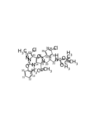 Cc1nn2c(=O)n(Cc3ccccc3)c(C(C(C)C)N(CCCNC(=O)OC(C)(C)C)C(=O)c3ccc(Cl)cc3)cc2c1Cl